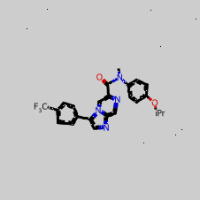 CC(C)Oc1ccc(N(C)C(=O)c2cn3c(-c4ccc(C(F)(F)F)cc4)cnc3cn2)cc1